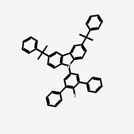 CC(C)(c1ccccc1)c1ccc2c(c1)c1cc(C(C)(C)c3ccccc3)ccc1n2-c1cc(-c2ccccc2)c(I)c(-c2ccccc2)c1